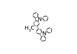 CC1Cc2c(n(-c3ccccc3)c3ccccc23)C=C1c1ccc2c3ccccc3n(-c3ccccc3)c2c1